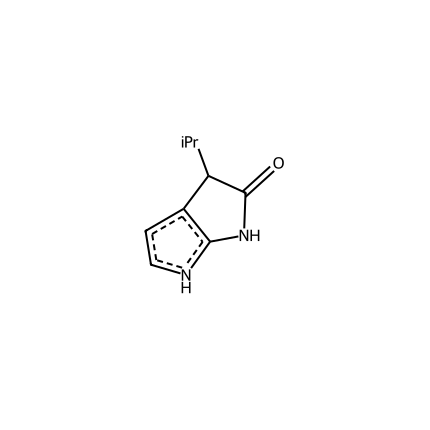 CC(C)C1C(=O)Nc2[nH]ccc21